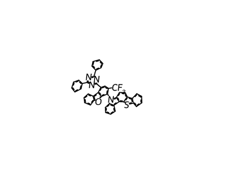 FC(F)(F)c1cc(-c2nc(-c3ccccc3)nc(-c3ccccc3)n2)c2c(oc3ccccc32)c1-n1c2ccccc2c2c3sc4ccccc4c3ccc21